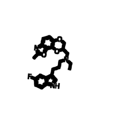 CCN(CCCc1c[nH]c2ccc(F)cc12)CC1COc2ccc3nc(C)oc3c2O1